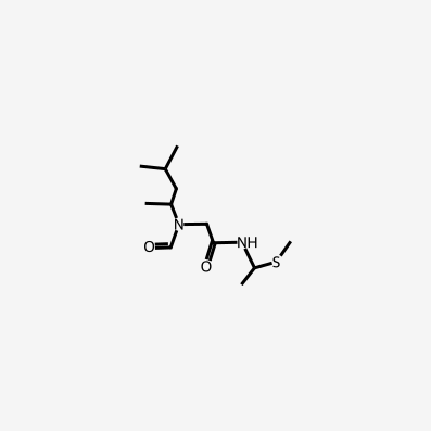 CSC(C)NC(=O)CN(C=O)C(C)CC(C)C